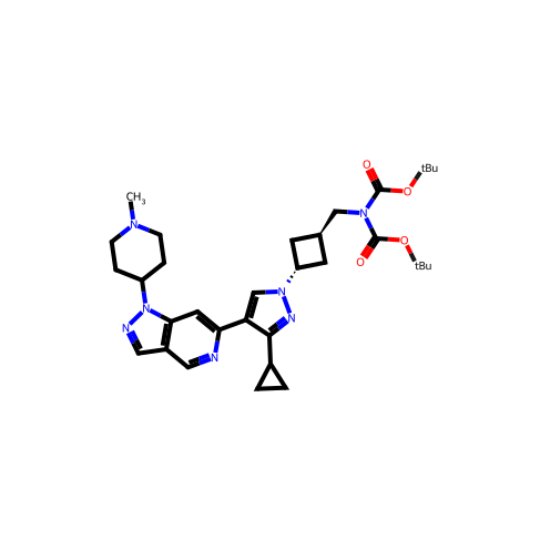 CN1CCC(n2ncc3cnc(-c4cn([C@H]5C[C@H](CN(C(=O)OC(C)(C)C)C(=O)OC(C)(C)C)C5)nc4C4CC4)cc32)CC1